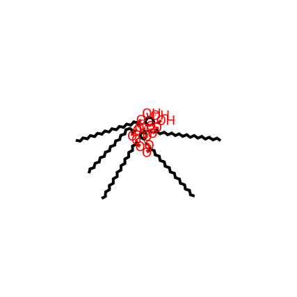 CCCCCCCCCCCCCCCCCC(=O)OC[C@H]1O[C@@](COC(=O)CCCCCCCCCCCCCCCCC)(O[C@H]2O[C@H](CO)[C@@H](O)[C@H](O)[C@H]2OC(=O)CCCCCCCCCCCCCCCCC)[C@@H](OC(=O)CCCCCCCCCCCCCCCCC)[C@@H]1OC(=O)CCCCCCCCCCCCCCCCC